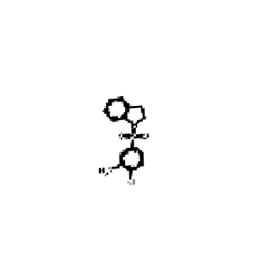 Nc1cc(S(=O)(=O)N2CCc3ccccc32)ccc1Cl